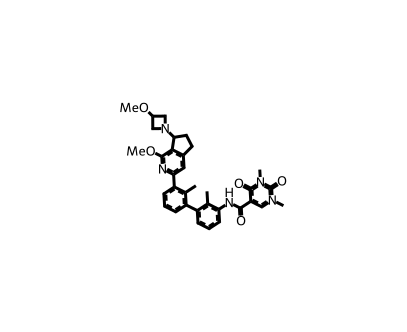 COc1nc(-c2cccc(-c3cccc(NC(=O)c4cn(C)c(=O)n(C)c4=O)c3C)c2C)cc2c1C(N1CC(OC)C1)CC2